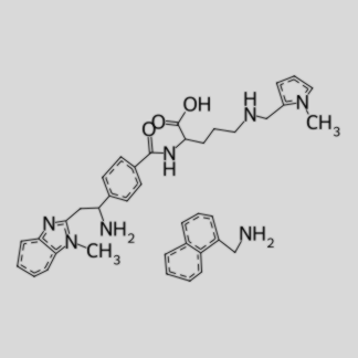 Cn1cccc1CNCCCC(NC(=O)c1ccc(C(N)Cc2nc3ccccc3n2C)cc1)C(=O)O.NCc1cccc2ccccc12